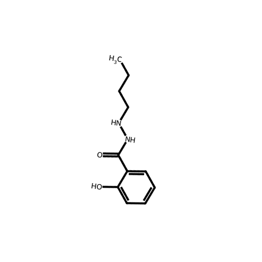 CCCCNNC(=O)c1ccccc1O